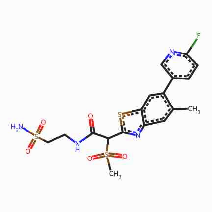 Cc1cc2nc(C(C(=O)NCCS(N)(=O)=O)S(C)(=O)=O)sc2cc1-c1ccc(F)nc1